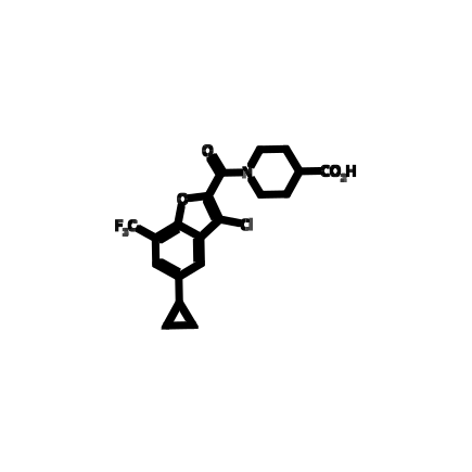 O=C(O)C1CCN(C(=O)c2oc3c(C(F)(F)F)cc(C4CC4)cc3c2Cl)CC1